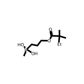 CCC(C)(C)C(=O)OCCC[Si](C)(O)O